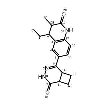 CCC1c2cc(C3=NNC(=O)C4CCC34)ccc2NC(=O)C1C